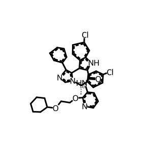 C[C@@H](c1ccc(Cl)cc1)n1cnc(-c2ccccc2)c1-c1c(C(=O)Nc2cccnc2OCCOC2CCCCC2)[nH]c2cc(Cl)ccc12